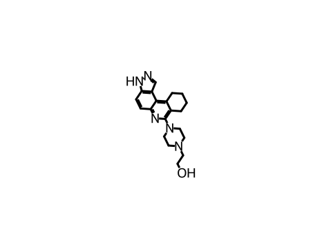 OCCN1CCN(c2nc3ccc4[nH]ncc4c3c3c2CCCC3)CC1